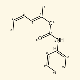 C/C=C\C=C(/C)OC(=O)NC(/C=C\C)=C/C